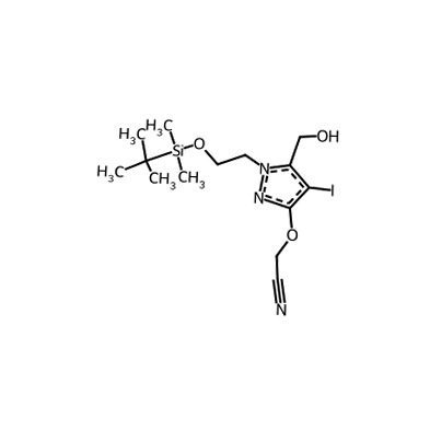 CC(C)(C)[Si](C)(C)OCCn1nc(OCC#N)c(I)c1CO